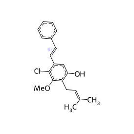 COc1c(Cl)c(/C=C/c2ccccc2)cc(O)c1CC=C(C)C